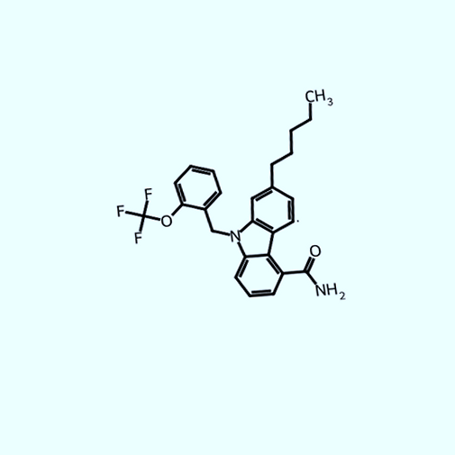 CCCCCc1c[c]c2c3c(C(N)=O)cccc3n(Cc3ccccc3OC(F)(F)F)c2c1